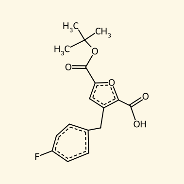 CC(C)(C)OC(=O)c1cc(Cc2ccc(F)cc2)c(C(=O)O)o1